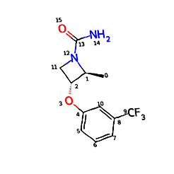 C[C@H]1[C@H](Oc2cccc(C(F)(F)F)c2)CN1C(N)=O